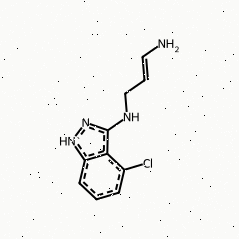 NC=CCNc1n[nH]c2cccc(Cl)c12